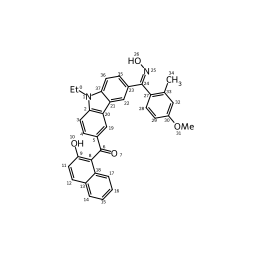 CCn1c2ccc(C(=O)c3c(O)ccc4ccccc34)cc2c2cc(/C(=N\O)c3ccc(OC)cc3C)ccc21